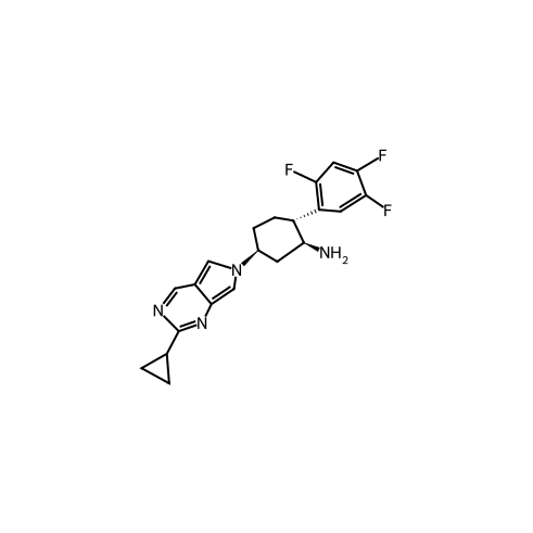 N[C@H]1C[C@@H](n2cc3cnc(C4CC4)nc3c2)CC[C@@H]1c1cc(F)c(F)cc1F